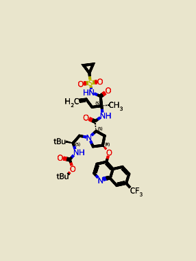 C=CC[C@](C)(NC(=O)[C@@H]1C[C@@H](Oc2ccnc3cc(C(F)(F)F)ccc23)CN1C[C@@H](NC(=O)OC(C)(C)C)C(C)(C)C)C(=O)NS(=O)(=O)C1CC1